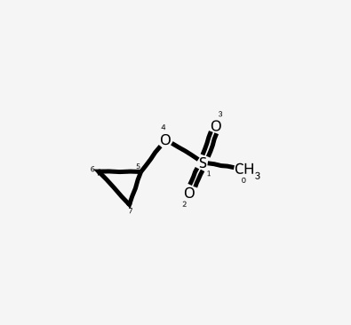 CS(=O)(=O)OC1[CH]C1